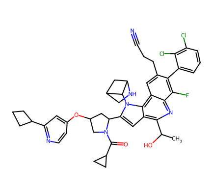 CC(O)c1nc2c(F)c(-c3cccc(Cl)c3Cl)c(CCC#N)cc2c2c1cc(C1CC(Oc3ccnc(C4CCC4)c3)CN1C(=O)C1CC1)n2C1C2CNC1C2